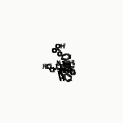 CS(=O)(=O)Nc1ccccc1Nc1nc(Nc2cccc(OCC(=O)O)c2)ncc1Cl.Cl